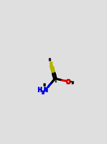 NC([O])=S